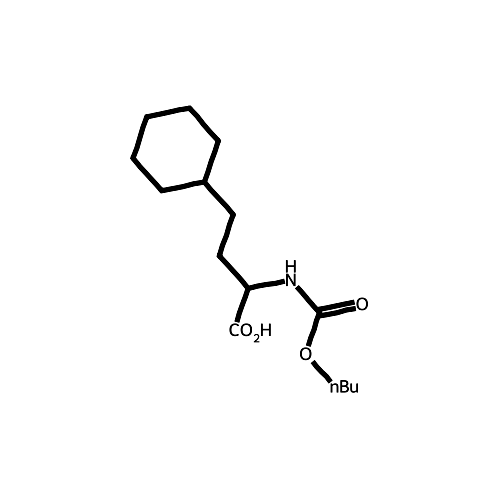 CCCCOC(=O)NC(CCC1CCCCC1)C(=O)O